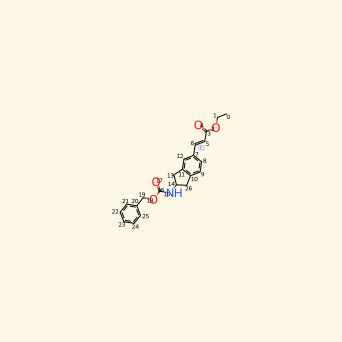 CCOC(=O)/C=C/c1ccc2c(c1)CC(NC(=O)OCc1ccccc1)C2